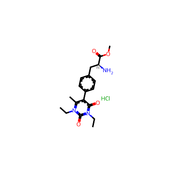 CCn1c(C)c(-c2ccc(C[C@H](N)C(=O)OC)cc2)c(=O)n(CC)c1=O.Cl